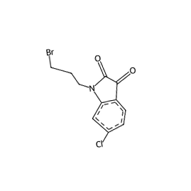 O=C1C(=O)N(CCCBr)c2cc(Cl)ccc21